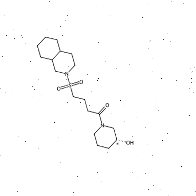 O=C(CCCS(=O)(=O)N1CCC2CCCCC2C1)N1CCC[C@@H](O)C1